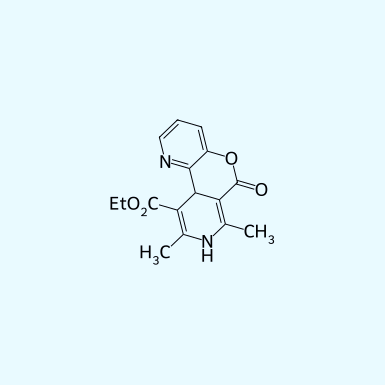 CCOC(=O)C1=C(C)NC(C)=C2C(=O)Oc3cccnc3C12